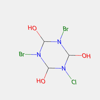 OC1N(Cl)C(O)N(Br)C(O)N1Br